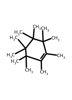 CC1=C(C)C(C)(C)C(C)(C)C(C)(C)C1(C)C